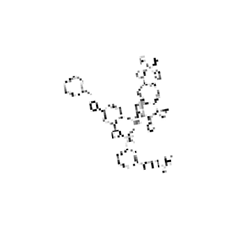 O=C(O)c1cccc([C@H]2C[C@@H](NC(=O)C3(c4ccc5c(c4)OC(F)(F)O5)CC3)c3ccc(OCc4ccccc4)cc3O2)c1